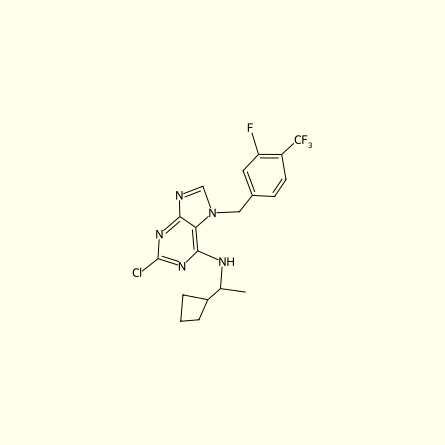 CC(Nc1nc(Cl)nc2ncn(Cc3ccc(C(F)(F)F)c(F)c3)c12)C1CCC1